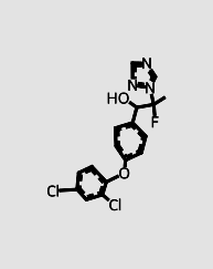 CC(F)(C(O)c1ccc(Oc2ccc(Cl)cc2Cl)cc1)n1cncn1